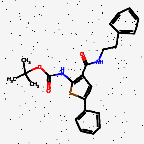 CC(C)(C)OC(=O)Nc1sc(-c2ccccc2)cc1C(=O)NCCc1ccccc1